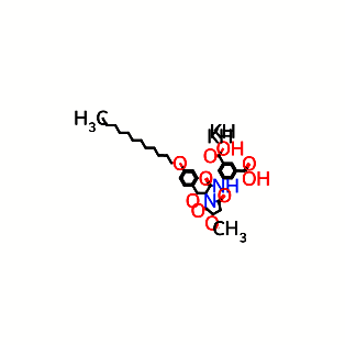 CCCCCCCCCCCCOc1ccc(C(=O)C(C(=O)Nc2cc(C(=O)O)cc(C(=O)O)c2)N2C(=O)CC(OC)C2=O)cc1.[KH].[KH]